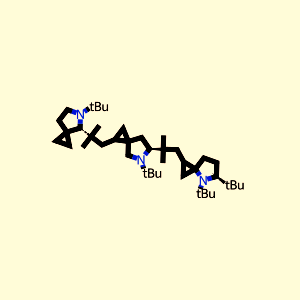 CC(C)(C)[C@@H]1CCC2(CC2CC(C)(C)[C@@H]2CC3(CC3CC(C)(C)[C@H]3N(C(C)(C)C)CCC34CC4)CN2C(C)(C)C)N1C(C)(C)C